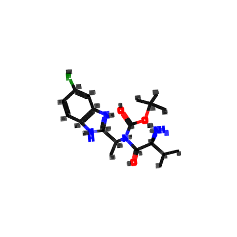 CC(C)[C@H](N)C(=O)N(C(=O)OC(C)(C)C)C(C)c1nc2cc(F)ccc2[nH]1